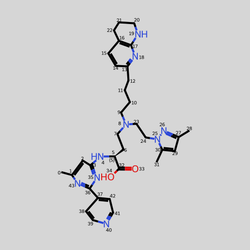 Cc1cc(N[C@@H](CCN(CCCCc2ccc3c(n2)NCCC3)CCn2nc(C)cc2C)C(=O)O)nc(-c2ccncc2)n1